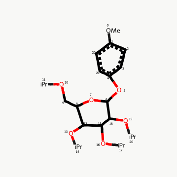 COc1ccc(OC2OC(COC(C)C)C(OC(C)C)C(OC(C)C)C2OC(C)C)cc1